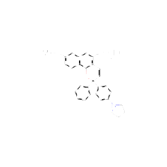 CCOC(=O)c1cc2cc(OC)ccc2c2c1C=CC(c1ccccc1)(c1ccc(N3CCCC3)cc1)O2